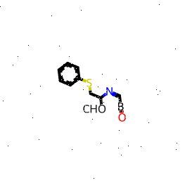 O=B/C=N\C(C=O)CSc1ccccc1